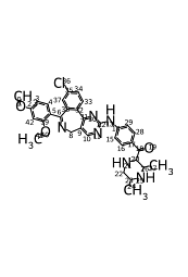 COc1ccc(C2=NCc3cnc(Nc4ccc(C(=O)C5NCC(C)NC5C)cc4)nc3-c3ccc(Cl)cc32)c(OC)c1